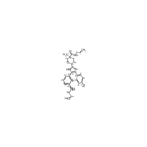 C=CCNC(=O)C1(C)COC(c2nc(-c3ccc(F)cc3)c(-c3ccnc(NCCO)n3)[nH]2)OC1